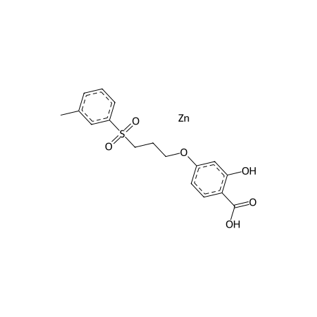 Cc1cccc(S(=O)(=O)CCCOc2ccc(C(=O)O)c(O)c2)c1.[Zn]